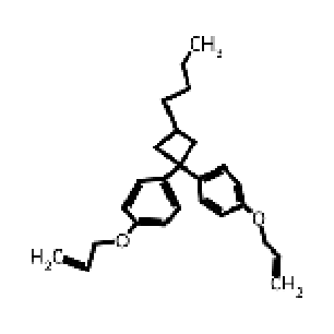 C=CCOc1ccc(C2(c3ccc(OCC=C)cc3)CC(CCCC)C2)cc1